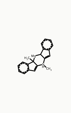 C[SiH]1C2=Cc3ccccc3[CH]2[Mg][C]2(C)C1=Cc1ccccc12